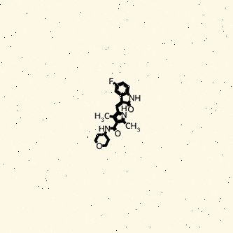 Cc1[nH]c(C=C2C(=O)Nc3ccc(F)cc32)c(C)c1C(=O)NC1CCOCC1